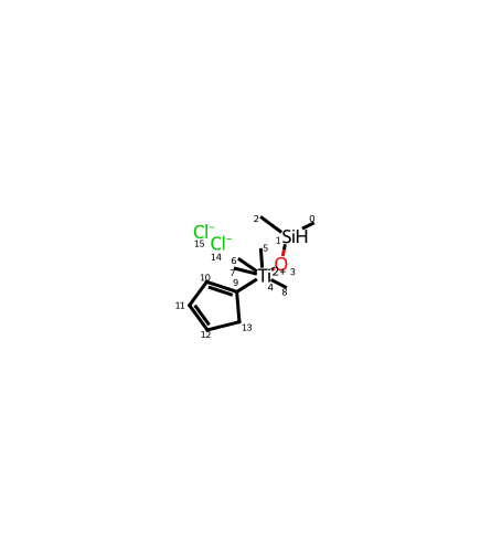 C[SiH](C)[O][Ti+2]([CH3])([CH3])([CH3])([CH3])[C]1=CC=CC1.[Cl-].[Cl-]